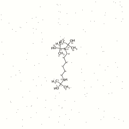 CC(C)(O)NCCCCCCN(C(C)(C)O)C(C)(C)O